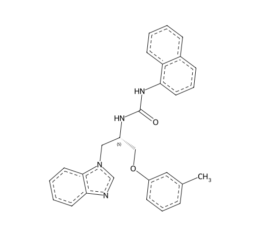 Cc1cccc(OC[C@H](Cn2cnc3ccccc32)NC(=O)Nc2cccc3ccccc23)c1